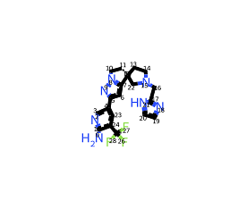 Nc1ncc(-c2cc3n(n2)CC[C@@]32CCN(Cc3ncc[nH]3)C2)cc1C(F)(F)F